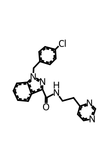 O=C(NCCc1ccncn1)c1nn(Cc2ccc(Cl)cc2)c2ccccc12